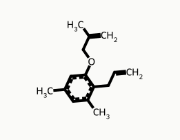 C=CCc1c(C)cc(C)cc1OCC(=C)C